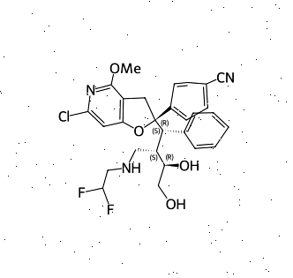 COc1nc(Cl)cc2c1C[C@](c1ccc(C#N)cc1)([C@H](c1ccccc1)[C@@H](CNCC(F)F)[C@@H](O)CO)O2